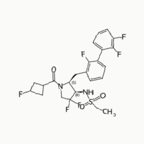 CCS(=O)(=O)N[C@@H]1[C@H](Cc2cccc(-c3cccc(F)c3F)c2F)N(C(=O)C2CC(F)C2)CC1(F)F